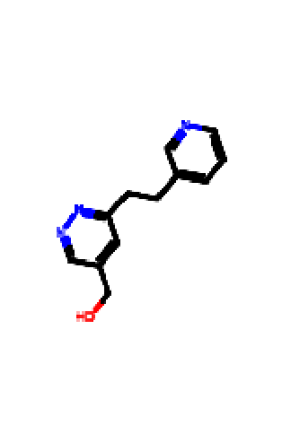 OCc1cnnc(CCc2cccnc2)c1